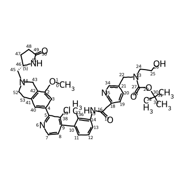 COc1cc(-c2nccc(-c3cccc(NC(=O)c4ccc(CN(CCO)C(=O)OC(C)(C)C)cn4)c3C)c2Cl)cc2c1CN(C[C@@H]1CCC(=O)N1)CC2